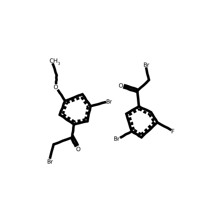 CCOc1cc(Br)cc(C(=O)CBr)c1.O=C(CBr)c1cc(F)cc(Br)c1